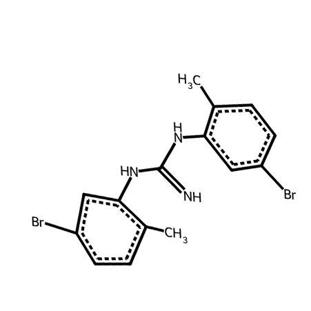 Cc1ccc(Br)cc1NC(=N)Nc1cc(Br)ccc1C